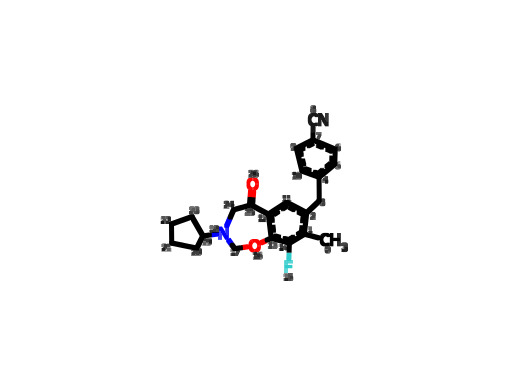 Cc1c(Cc2ccc(C#N)cc2)cc2c(c1F)OCN(C1CCCC1)CC2=O